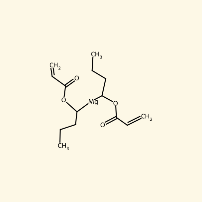 C=CC(=O)O[CH](CCC)[Mg][CH](CCC)OC(=O)C=C